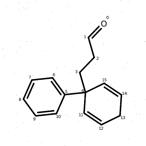 O=CCCC1(c2ccccc2)C=CCC=C1